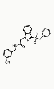 N#Cc1cccc(CNC(=O)Cn2nc(S(=O)(=O)Cc3ccccc3)c3ccccc32)c1